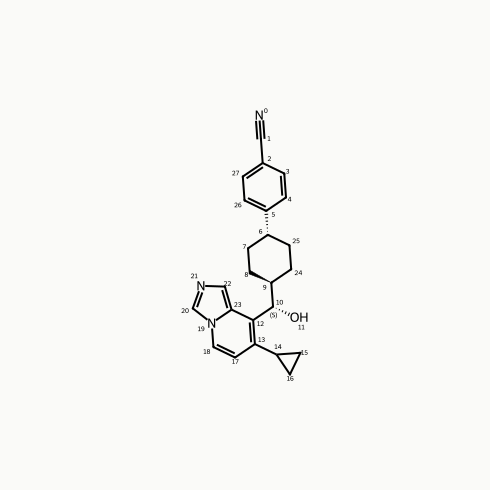 N#Cc1ccc([C@H]2CC[C@H]([C@H](O)c3c(C4CC4)ccn4cncc34)CC2)cc1